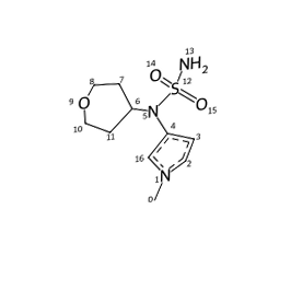 Cn1ccc(N(C2CCOCC2)S(N)(=O)=O)c1